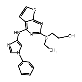 CCN(CCO)c1nc(Nc2cn(-c3ccccc3)cn2)c2ccsc2n1